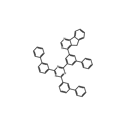 c1ccc(-c2cccc(-c3nc(-c4cccc(-c5ccccc5)c4)nc(-c4cc(-c5ccccc5)cc(-c5ncnc6c5Cc5ccccc5-6)c4)n3)c2)cc1